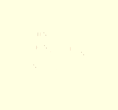 NC1=NC(c2cccc(-c3cccnc3F)c2)(c2ccncc2F)c2ccccc21